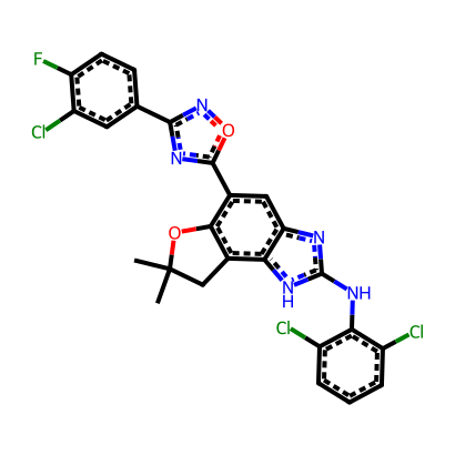 CC1(C)Cc2c(c(-c3nc(-c4ccc(F)c(Cl)c4)no3)cc3nc(Nc4c(Cl)cccc4Cl)[nH]c23)O1